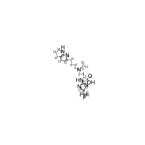 O=C(O)[C@H](CCN(CCCCc1ccc2c(n1)NCCC2)C1CC1)Nc1ncc(C(F)(F)F)cn1